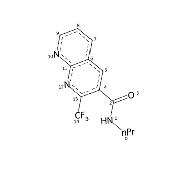 CCCNC(=O)c1cc2cccnc2nc1C(F)(F)F